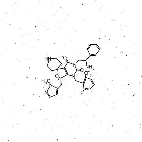 Cn1nccc1C[C@H]1OC2(CCNCC2)c2c1n(Cc1c(F)cccc1C(F)(F)F)c(=O)n(CC(N)c1ccccc1)c2=O